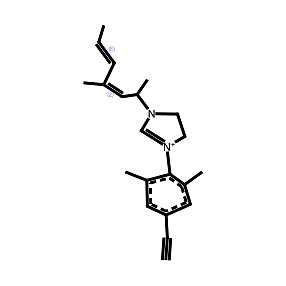 C#Cc1cc(C)c([N+]2=CN(C(C)/C=C(C)\C=C\C)CC2)c(C)c1